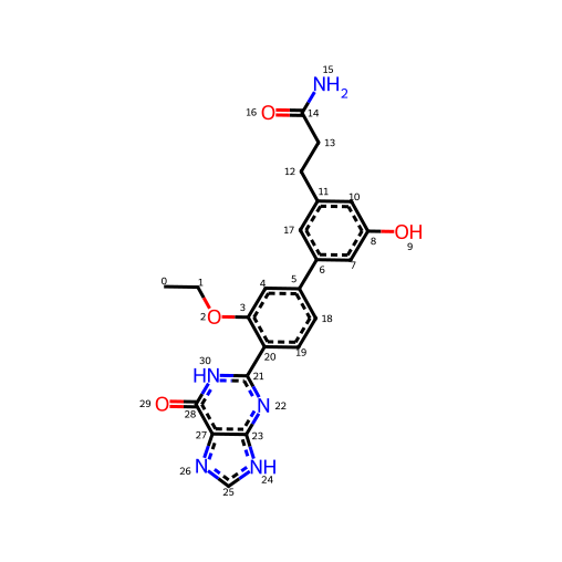 CCOc1cc(-c2cc(O)cc(CCC(N)=O)c2)ccc1-c1nc2[nH]cnc2c(=O)[nH]1